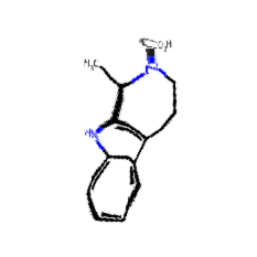 CC1c2[nH]c3ccccc3c2CCN1C(=O)O